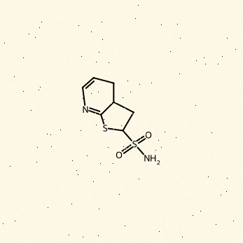 NS(=O)(=O)C1CC2CC=CN=C2S1